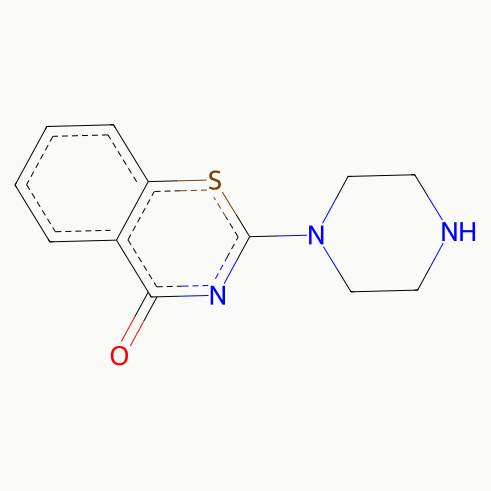 O=c1nc(N2CCNCC2)sc2ccccc12